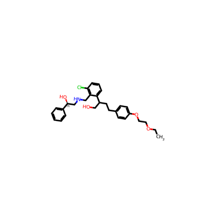 CCOCCOc1ccc(CCC(CO)c2cccc(Cl)c2CNC[C@H](O)c2ccccc2)cc1